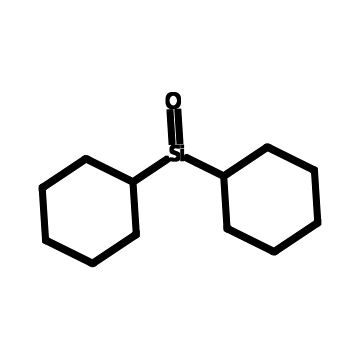 O=[Si](C1CCCCC1)C1CCCCC1